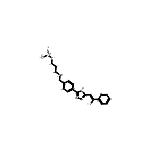 CCC/C(=C\c1nnc(-c2ccc(CNCCCO[PH](=O)O)cc2)o1)c1ccccc1